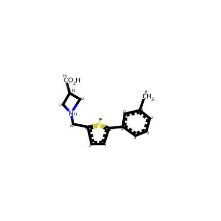 Cc1cccc(-c2ccc(CN3CC(C(=O)O)C3)s2)c1